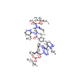 Cc1cccnc1N(C(=O)c1ccc(-c2cnn(C)c2-c2nnn(C(OC(=O)OC(C)C)C(C)C)n2)cc1)[C@@H]1CCCN(C(=O)OC(C)(C)C)C1